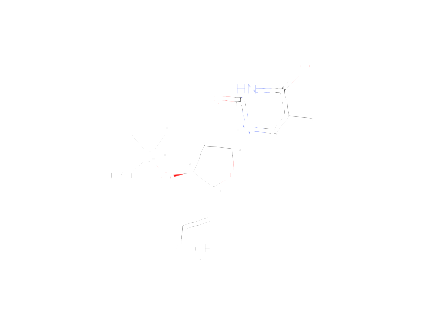 CCOC(=O)C=C[C@H]1O[C@@H](n2cc(C)c(=O)[nH]c2=O)C[C@@H]1O[Si](C)(C)C(C)(C)C